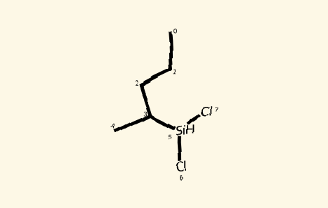 CCCC(C)[SiH](Cl)Cl